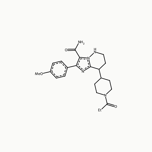 CCC(=O)N1CCC(C2CCNn3c2nc(-c2ccc(OC)cc2)c3C(N)=O)CC1